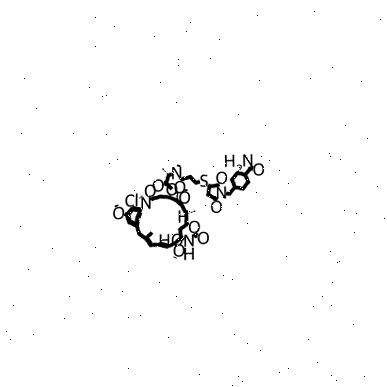 COc1cc2cc(c1Cl)N(C)C(=O)C[C@H](OC(=O)[C@H](C)N(C)C(=O)CCSC1CC(=O)N(CC3CCC(C(N)=O)CC3)C1=O)[C@](C)(OC)C[C@H](C)[C@@H]1C[C@@](O)(NC(=O)O1)[C@H](OC)/C=C/C=C(\C)C2